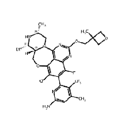 CC[C@@H]1N[C@H](C)CN2c3nc(OCC4(C)COC4)nc4c(F)c(-c5nc(N)cc(C)c5C(F)(F)F)c(Cl)c(c34)OC[C@H]12